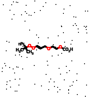 CCCC(C)(C)OOC=CCOCCOC(=O)O